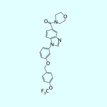 O=C(c1ccc2c(c1)ncn2-c1cccc(OCc2ccc(OC(F)(F)F)cc2)c1)N1CCOCC1